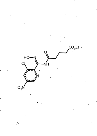 CCOC(=O)CCCC(=O)N/C(=N/O)c1ncc([N+](=O)[O-])cc1Cl